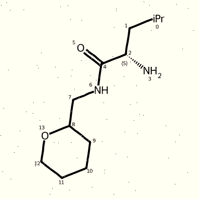 CC(C)C[C@H](N)C(=O)NCC1CCCCO1